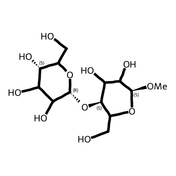 CO[C@H]1OC(CO)[C@@H](O[C@H]2OC(CO)[C@@H](O)C(O)C2O)C(O)C1O